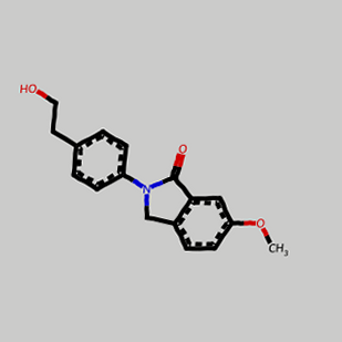 COc1ccc2c(c1)C(=O)N(c1ccc(CCO)cc1)C2